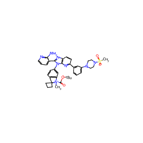 CC(C)(C)OC(=O)[N+]1(C)c2cc(-n3c(-c4cccnc4N)nc4ccc(-c5cccc(N6CCN(S(C)(=O)=O)CC6)c5)nc43)ccc2C12CCC2